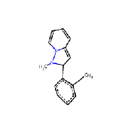 Cc1ccccc1C1C=C2C=CC=CN2N1C